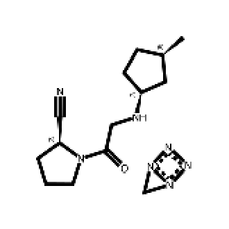 C1n2nnn21.C[C@@H]1CC[C@H](NCC(=O)N2CCC[C@H]2C#N)C1